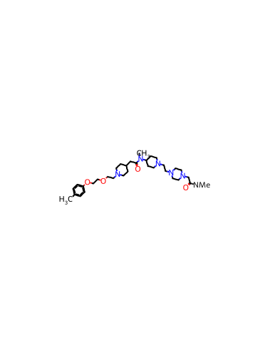 CNC(=O)CN1CCN(CCN2CCC(N(C)C(=O)CC3CCN(CCOCCOc4ccc(C)cc4)CC3)CC2)CC1